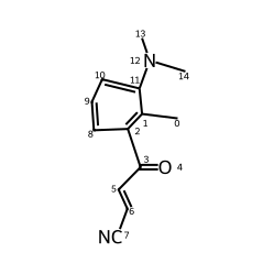 Cc1c(C(=O)C=CC#N)cccc1N(C)C